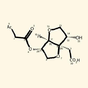 CC(=O)CC(=O)O[C@H]1CO[C@@]2(CC(=O)O)[C@@H]1OC[C@@H]2O